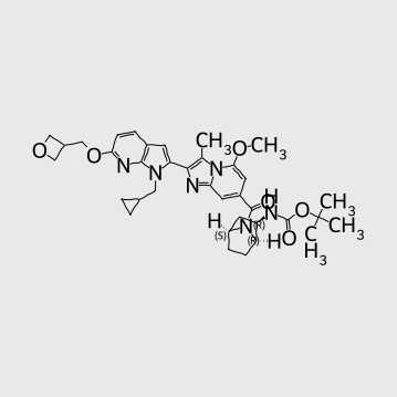 COc1cc(C(=O)N2[C@H]3CC[C@@H]2[C@H](NC(=O)OC(C)(C)C)C3)cc2nc(-c3cc4ccc(OCC5COC5)nc4n3CC3CC3)c(C)n12